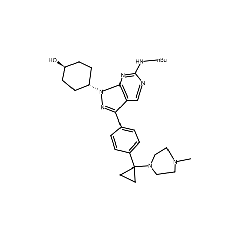 CCCCNc1ncc2c(-c3ccc(C4(N5CCN(C)CC5)CC4)cc3)nn([C@H]3CC[C@H](O)CC3)c2n1